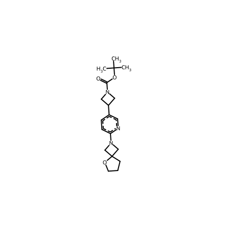 CC(C)(C)OC(=O)N1CC(c2ccc(N3CC4(CCCO4)C3)nc2)C1